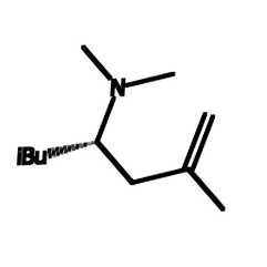 C=C(C)C[C@H](C(C)CC)N(C)C